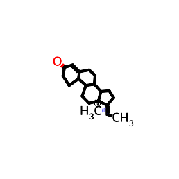 C/C=C1\CCC2C3CCC4=CC(=O)CCC4C3CC[C@@]12C